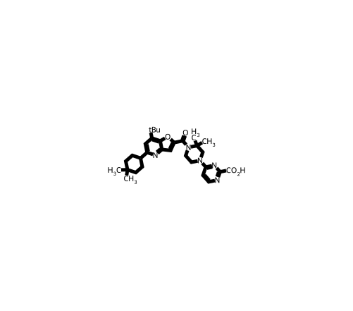 CC1(C)CCC(c2cc(C(C)(C)C)c3oc(C(=O)N4CCN(c5ccnc(C(=O)O)n5)CC4(C)C)cc3n2)CC1